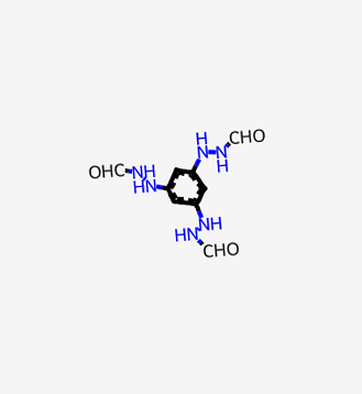 O=CNNc1cc(NNC=O)cc(NNC=O)c1